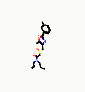 CCCN(CCC)C(=O)C[S+]([O-])Cc1nc(-c2cccc(C)c2)oc1C